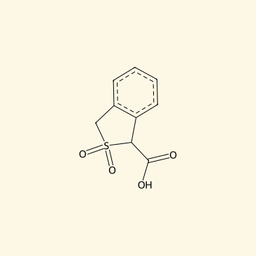 O=C(O)C1c2ccccc2CS1(=O)=O